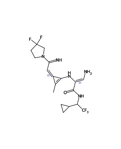 CC1=C(N/C(=C\N)C(=O)NC(C2CC2)C(F)(F)F)C/1=C\C(=N)N1CCC(F)(F)C1